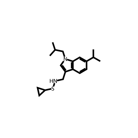 CC(C)Cn1cc(CNSC2CC2)c2ccc(C(C)C)cc21